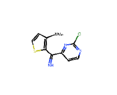 CNc1ccsc1C(=N)c1ccnc(Cl)n1